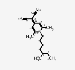 CC[C@@H](C)CCCCN1C(C)=CC(=C(C#N)C#N)C=C1C